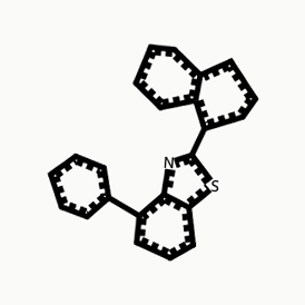 c1ccc(-c2cccc3sc(-c4cccc5ccccc45)nc23)cc1